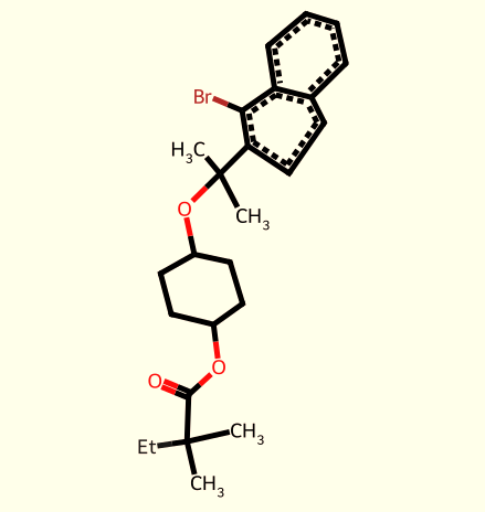 CCC(C)(C)C(=O)OC1CCC(OC(C)(C)c2ccc3ccccc3c2Br)CC1